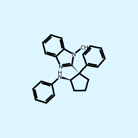 Cn1c([C@]2(c3ccccc3)CCC[C@H]2Nc2ccccc2)nc2ccccc21